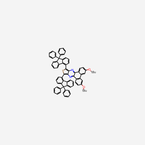 CC(C)(C)Oc1ccc2c(c1)c1cc(OC(C)(C)C)ccc1c1nc3c(-c4cccc5c4-c4ccccc4C5(c4ccccc4)c4ccccc4)sc(-c4cccc5c4-c4ccccc4C5(c4ccccc4)c4ccccc4)c3nc21